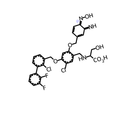 N=C1C=C(COc2cc(OCc3cccc(-c4cccc(F)c4F)c3Cl)c(Cl)cc2CNC(CO)C(=O)O)C=C/C1=N/O